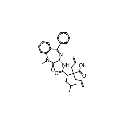 C=CCC(CC=C)(C(=O)O)[C@@H](CC(C)C)C(=O)N[C@H]1N=C(c2ccccc2)c2ccccc2N(C)C1=O